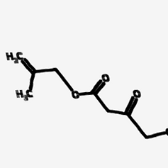 C=C(C)COC(=O)CC(=O)CCl